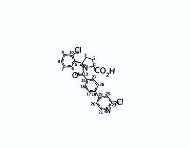 O=C(O)[C@@H]1CC[C@H](c2ccccc2Cl)N1C(=O)c1ccc(-c2ccnc(Cl)c2)cc1